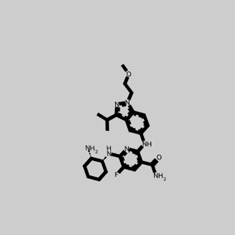 COCCn1nc(C(C)C)c2cc(Nc3nc(N[C@@H]4CCCC[C@@H]4N)c(F)cc3C(N)=O)ccc21